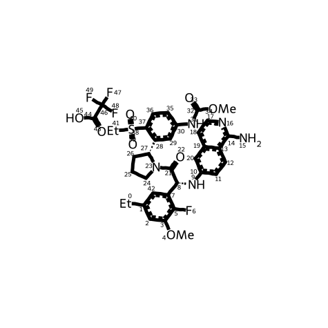 CCc1cc(OC)c(F)c([C@@H](Nc2ccc3c(N)nccc3c2)C(=O)N2CCC[C@@H]2c2cc(NC(=O)OC)ccc2S(=O)(=O)CC)c1.O=C(O)C(F)(F)F